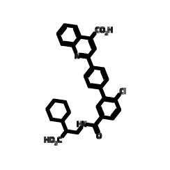 O=C(NCC(C(=O)O)C1CCCCC1)c1ccc(Cl)c(-c2ccc(-c3cc(C(=O)O)c4ccccc4n3)cc2)c1